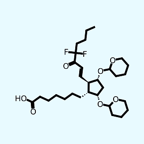 CCCCC(F)(F)C(=O)/C=C/[C@@H]1[C@@H](CCCCCCC(=O)O)[C@@H](OC2CCCCO2)C[C@H]1OC1CCCCO1